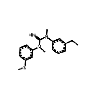 CCc1cccc(N(C)C(=N)N(C)c2cccc(SC)c2)c1